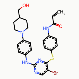 C=CC(=O)Nc1ccc(Sc2nc(Nc3ccc(N4CCC(CO)CC4)cc3)ncc2Br)cc1